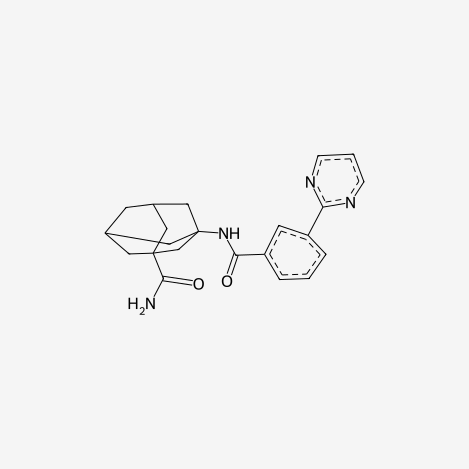 NC(=O)C12CC3CC(CC(NC(=O)c4cccc(-c5ncccn5)c4)(C3)C1)C2